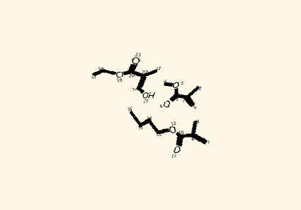 C=C(C)C(=O)OC.C=C(C)C(=O)OCCCC.CCOC(=O)C(C)=CO